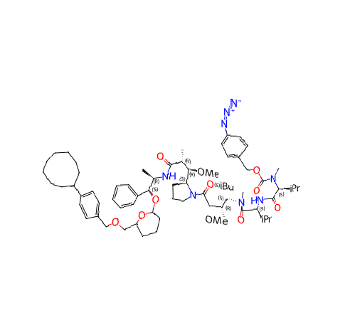 CC[C@H](C)[C@@H]([C@@H](CC(=O)N1CCC[C@H]1[C@H](OC)[C@@H](C)C(=O)N[C@H](C)[C@@H](OC1CCCC(COCc2ccc(C3CCCCCCCC3)cc2)O1)c1ccccc1)OC)N(C)C(=O)[C@@H](NC(=O)[C@H](C(C)C)N(C)C(=O)OCc1ccc(N=[N+]=[N-])cc1)C(C)C